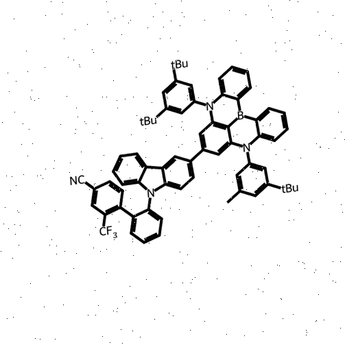 Cc1cc(N2c3ccccc3B3c4ccccc4N(c4cc(C(C)(C)C)cc(C(C)(C)C)c4)c4cc(-c5ccc6c(c5)c5ccccc5n6-c5ccccc5-c5ccc(C#N)cc5C(F)(F)F)cc2c43)cc(C(C)(C)C)c1